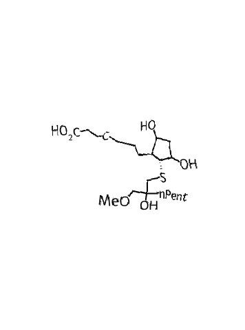 CCCCCC(O)(COC)CS[C@H]1C(O)CC(O)[C@@H]1CCCCCCC(=O)O